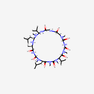 CC(C)C[C@@H]1C(=O)N(C)C(=O)N(C)C(C(C)C)C(=O)N(C)C(=O)NC(=O)N(C)CC(=O)NCC(=O)NC(C(C)C)N(C)[C@H](CC(C)C)N[C@H](C)C(=O)NC(=O)N1C